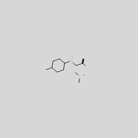 CC1CCC(N[C@@H](C[S+](C)[O-])C(=O)O)CC1